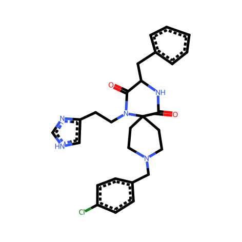 O=C1C(Cc2ccccc2)NC(=O)C2(CCN(Cc3ccc(Cl)cc3)CC2)N1CCc1c[nH]cn1